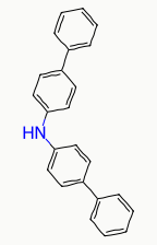 c1ccc(-c2ccc(Nc3ccc(-c4ccccc4)cc3)cc2)cc1